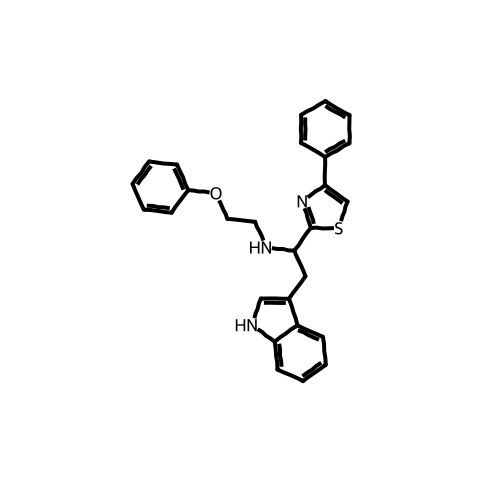 c1ccc(OCCNC(Cc2c[nH]c3ccccc23)c2nc(-c3ccccc3)cs2)cc1